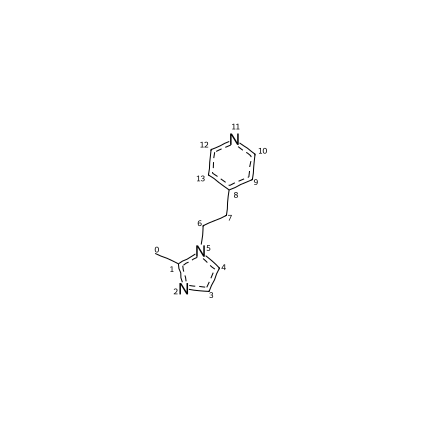 Cc1nccn1CCc1ccncc1